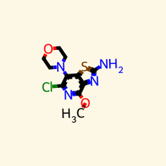 COc1nc(Cl)c(N2CCOCC2)c2sc(N)nc12